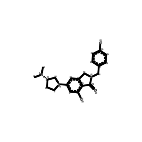 CN(C)[C@H]1CCN(c2cc(Cl)c3c(c2)CN(Cc2ccc(Cl)cc2)C3=O)C1